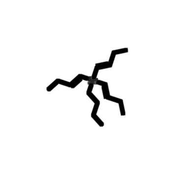 CC/C=[CH]/[Sn](/[CH]=C/CC)(/[CH]=C/CC)[CH2]CCC